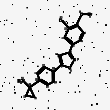 CC(C)Oc1ccc(-c2noc(-c3ccc(C4(N)CC4)cc3)n2)cc1Cl